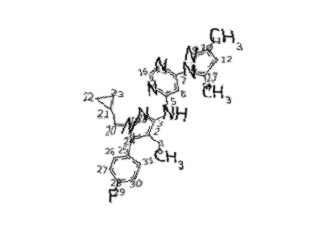 CCc1c(Nc2cc(-n3nc(C)cc3C)ncn2)nn(CC2CC2)c1-c1ccc(F)cc1